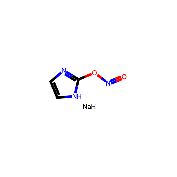 O=NOc1ncc[nH]1.[NaH]